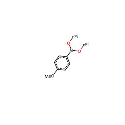 CCCOB(OCCC)c1ccc(OC)cc1